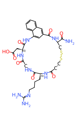 NC(=O)C1CSSCCC(=O)N[C@@H](CCCCN=C(N)N)C(=O)NCC(=O)N[C@@H](CC(=O)O)C(=O)Nc2cc(cc3ccccc23)C(=O)N1